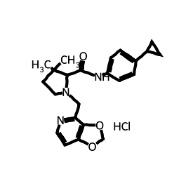 CC1(C)CCN(Cc2nccc3c2OCO3)C1C(=O)Nc1ccc(C2CC2)cc1.Cl